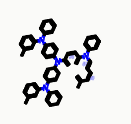 C=C(C)/C=C\C=C\N(C(=C)/C=C\C(=C)N(c1ccc(N(c2ccccc2)c2cccc(C)c2)cc1)C1C=CC(N(C2=CCCC=C2)c2cccc(C)c2)=CC1)c1ccccc1